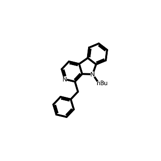 CCCCn1c2ccccc2c2ccnc(Cc3ccccc3)c21